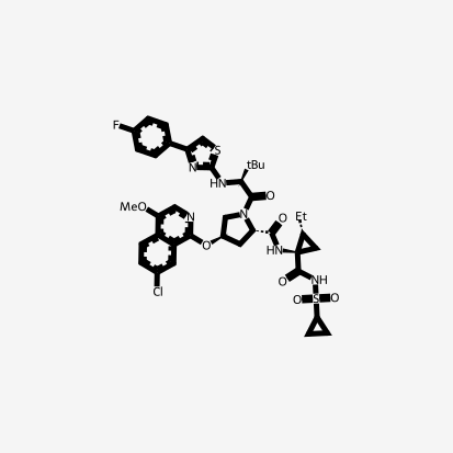 CC[C@@H]1C[C@]1(NC(=O)[C@@H]1C[C@@H](Oc2ncc(OC)c3ccc(Cl)cc23)CN1C(=O)[C@@H](Nc1nc(-c2ccc(F)cc2)cs1)C(C)(C)C)C(=O)NS(=O)(=O)C1CC1